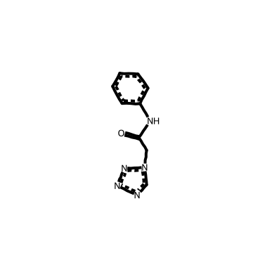 O=C(Cn1cnnn1)Nc1ccccc1